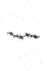 CC(C)P(=O)(O)OCCNC(=O)CCSC1CC(=O)N(CCCCCCN2C(=O)CC(SCCC(=O)NCCCCCOP(C)(=O)O)C2=O)C1=O